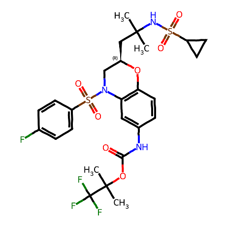 CC(C)(C[C@@H]1CN(S(=O)(=O)c2ccc(F)cc2)c2cc(NC(=O)OC(C)(C)C(F)(F)F)ccc2O1)NS(=O)(=O)C1CC1